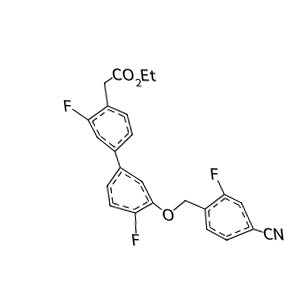 CCOC(=O)Cc1ccc(-c2ccc(F)c(OCc3ccc(C#N)cc3F)c2)cc1F